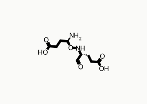 N[C@H](CCC(=O)O)ON[C@@H](C=O)CCC(=O)O